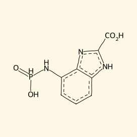 O=C(O)c1nc2c(N[PH](=O)O)cccc2[nH]1